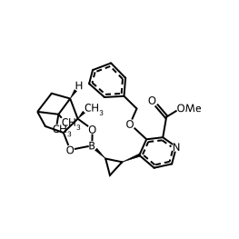 COC(=O)c1nccc([C@H]2C[C@H]2B2OC3CC4C[C@@H](C4(C)C)[C@]3(C)O2)c1OCc1ccccc1